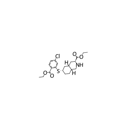 CCOC(=O)c1ccc(Cl)cc1S[C@H]1CC[C@H]2CN[C@H](C(=O)OCC)C[C@H]2C1